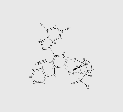 N#Cc1c(-c2c[nH]c3c(F)cc(F)cc23)nc(N[C@@H]2C3CCC(CC3)[C@H]2C(=O)O)c(F)c1Oc1ccccc1